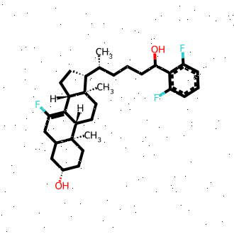 C[C@H](CCCC(O)c1c(F)cccc1F)[C@H]1CC[C@H]2C3=C(F)CC4C[C@@H](O)CC[C@]4(C)[C@H]3CC[C@]12C